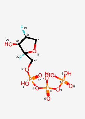 O=P(O)(O)OP(=O)(O)OP(=O)(O)OC[C@@]1(F)OC[C@H](F)[C@@H]1O